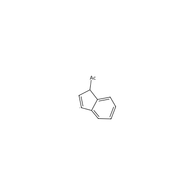 CC(=O)C1C=[C]c2ccccc21